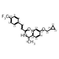 CC(NC(=O)C=Cc1ccc(C(F)(F)F)cc1)c1ccc(OCC2CC2)cn1